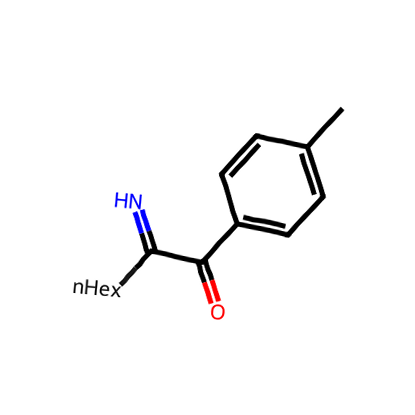 CCCCCCC(=N)C(=O)c1ccc(C)cc1